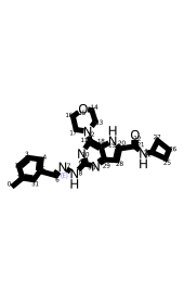 Cc1cccc(/C=N/Nc2nc(N3CCOCC3)c3[nH]c(C(=O)NC4CCC4)cc3n2)c1